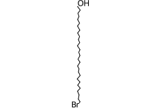 OCCCCCCCCCCCCCCCCCCCCCCCCCCCCCCBr